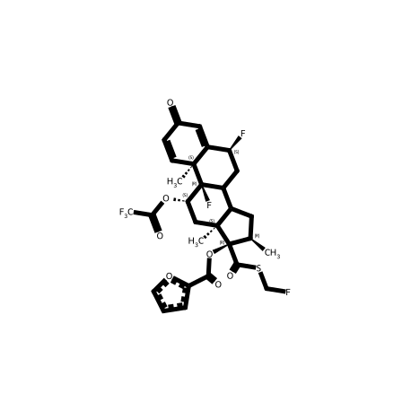 C[C@@H]1CC2C3C[C@H](F)C4=CC(=O)C=C[C@]4(C)[C@@]3(F)[C@@H](OC(=O)C(F)(F)F)C[C@]2(C)[C@@]1(OC(=O)c1ccco1)C(=O)SCF